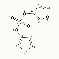 O=S(=O)(Oc1ccoc1)Oc1ccoc1